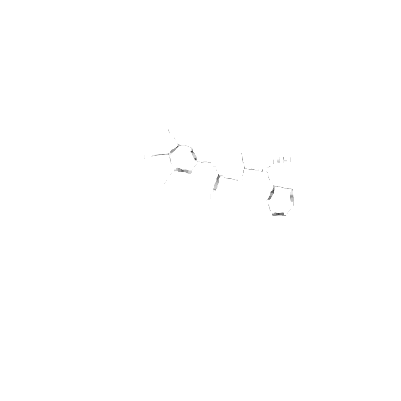 CCCCN(c1ccccc1)C(C)OC(=O)Oc1cc(C)c(Cl)c(C)c1